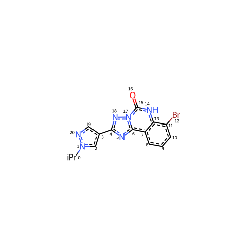 CC(C)n1cc(-c2nc3c4cccc(Br)c4[nH]c(=O)n3n2)cn1